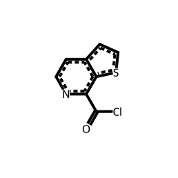 O=C(Cl)c1nccc2ccsc12